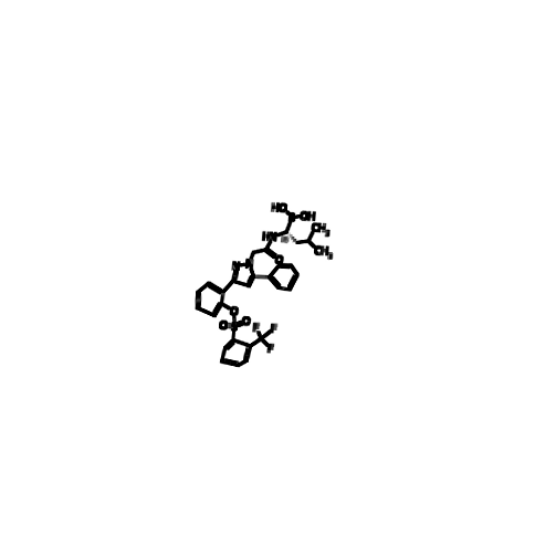 CC(C)C[C@H](NC(=O)Cn1nc(-c2ccccc2OS(=O)(=O)c2ccccc2C(F)(F)F)cc1-c1ccccc1)B(O)O